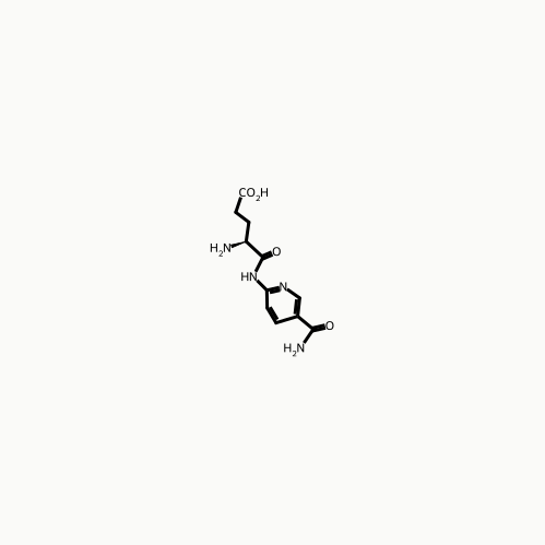 NC(=O)c1ccc(NC(=O)[C@@H](N)CCC(=O)O)nc1